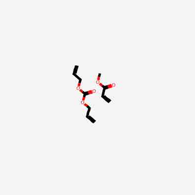 C=CC(=O)OC.C=CCOC(=O)OCC=C